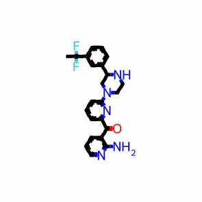 CC(F)(F)c1cccc(C2CN(c3cccc(C(=O)c4cccnc4N)n3)CCN2)c1